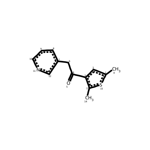 Cc1cc(C(=O)Cc2cccnc2)c(C)s1